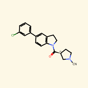 N#CN1CC[C@H](C(=O)N2CCc3cc(-c4cccc(Cl)c4)ccc32)C1